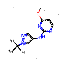 [2H]C([2H])([2H])n1cc(Nc2nccc(OC)n2)cn1